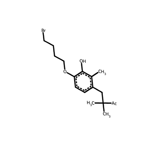 CC(=O)C(C)(C)Cc1ccc(OCCCCBr)c(O)c1C